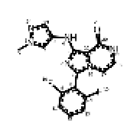 Cn1cc(Nc2nc(-c3c(F)cccc3F)n3cc[nH]c(=O)c23)cn1